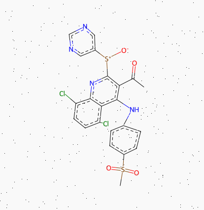 CC(=O)c1c([S+]([O-])c2cncnc2)nc2c(Cl)ccc(Cl)c2c1Nc1ccc(S(C)(=O)=O)cc1